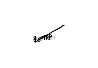 C=C(CCOOOOOOOOCCCCCCCCCCCCCCCCCC)OOOC.O=P(O)(O)O